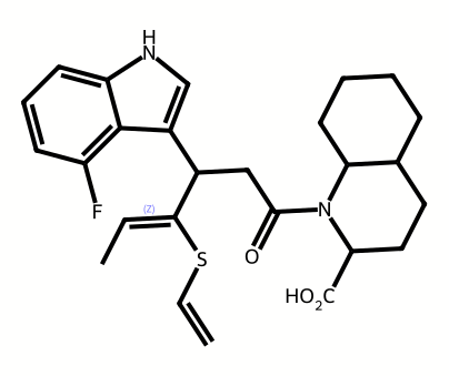 C=CS/C(=C\C)C(CC(=O)N1C(C(=O)O)CCC2CCCCC21)c1c[nH]c2cccc(F)c12